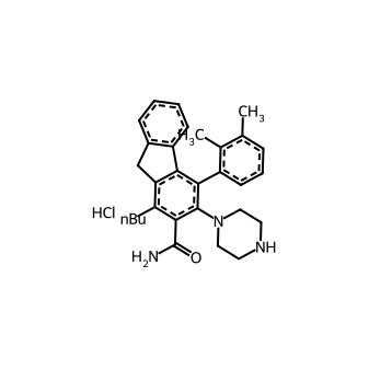 CCCCc1c2c(c(-c3cccc(C)c3C)c(N3CCNCC3)c1C(N)=O)-c1ccccc1C2.Cl